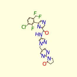 O=C(Nc1cnn(Cc2cnc(N3CCCC3=O)nc2)c1)c1cncc(-c2c(C(F)F)ccc(Cl)c2F)n1